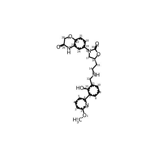 COc1cccc(-c2cccc(CNCC[C@H]3CN(c4ccc5c(c4)NC(=O)CO5)C(=O)O3)c2O)n1